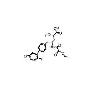 CCOC(=O)C(=O)N[C@H](Cc1ccc(-c2cc(Cl)ccc2F)cc1)C[C@@H](O)C(=O)O